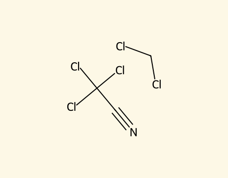 ClCCl.N#CC(Cl)(Cl)Cl